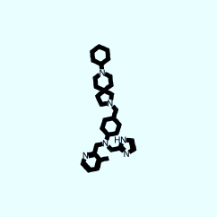 Cc1cccnc1CN(Cc1ncc[nH]1)C1CCC(CN2CCC3(CCN(C4CCCCC4)CC3)C2)CC1